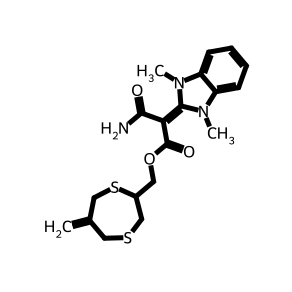 C=C1CSCC(COC(=O)C(C(N)=O)=C2N(C)c3ccccc3N2C)SC1